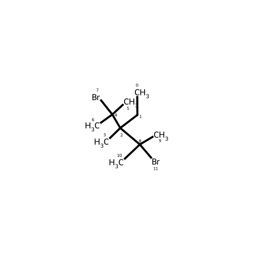 CCC(C)(C(C)(C)Br)C(C)(C)Br